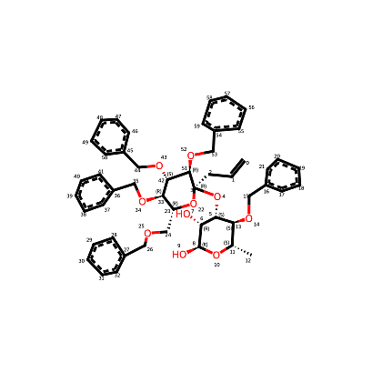 C=CC[C@]1(O[C@H]2[C@@H](O)[C@H](O)O[C@@H](C)[C@@H]2OCc2ccccc2)O[C@H](COCc2ccccc2)[C@@H](OCc2ccccc2)[C@H](OCc2ccccc2)[C@H]1OCc1ccccc1